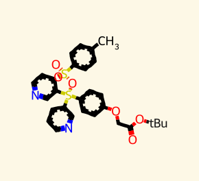 Cc1ccc(S(=O)(=O)OS(c2ccc(OCC(=O)OC(C)(C)C)cc2)(c2cccnc2)c2cccnc2)cc1